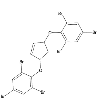 Brc1cc(Br)c(OC2C=CC(Oc3c(Br)cc(Br)cc3Br)C2)c(Br)c1